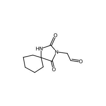 O=CCN1C(=O)NC2(CCCCC2)C1=O